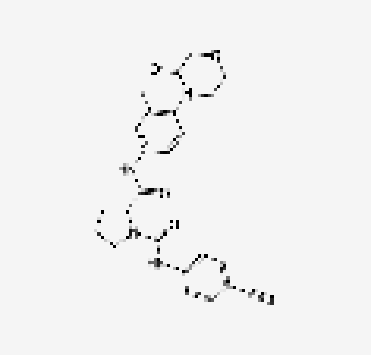 C#Cc1ccc(NC(=O)N2CCC[C@@H]2C(=O)Nc2ccc(N3CCOCC3=O)c(C)c2)cc1